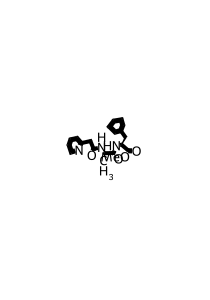 COC(=O)[C@H](Cc1ccccc1)NC(=O)[C@H](C)NC(=O)Cc1ccccn1